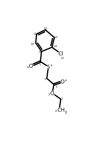 CCOC(=O)CSC(=O)c1ccccc1Cl